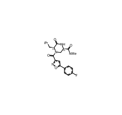 CNC(=O)[C@H]1CN(C(=O)c2cc(-c3ccc(F)cc3)on2)[C@@H](CC(C)C)C(=O)N1